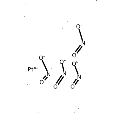 O=N[O-].O=N[O-].O=N[O-].O=N[O-].[Pt+4]